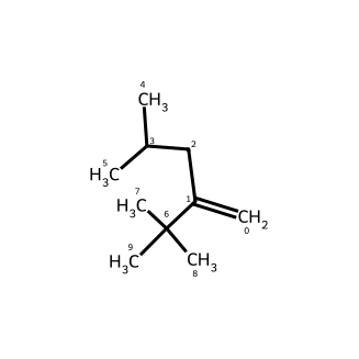 C=C(CC(C)C)C(C)(C)C